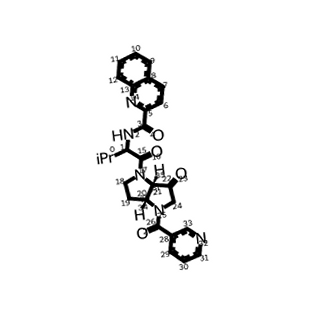 CC(C)C(NC(=O)c1ccc2ccccc2n1)C(=O)N1CC[C@@H]2[C@H]1C(=O)CN2C(=O)c1cccnc1